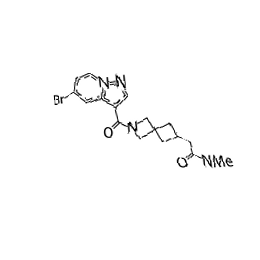 CNC(=O)CC1CC2(C1)CN(C(=O)c1cnn3ccc(Br)cc13)C2